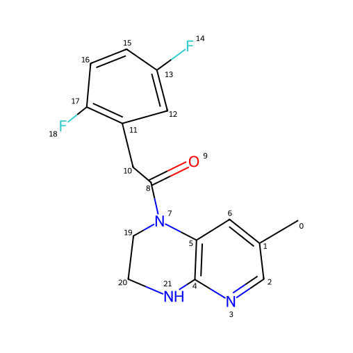 Cc1cnc2c(c1)N(C(=O)Cc1cc(F)ccc1F)CCN2